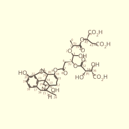 C[C@H](OC(O)[C@H](CC(=O)OC1=CC[C@@]2(O)[C@H]3Cc4ccc(O)c5c4C2(CCN3C)[C@H]1O5)OC(=O)[C@H](O)[C@@H](O)C(=O)O)C(=O)O[C@H](CC(=O)O)C(=O)O